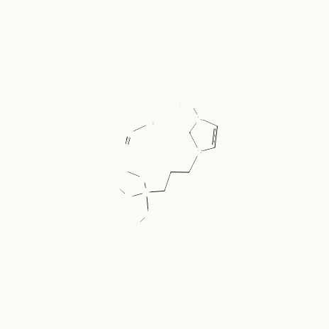 CCO[Si](CCCN1C=CN(C)C1)(OCC)OCC.O=[PH2]O